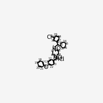 Cl.Cl.OC1(C(CN2CCN(Cc3ccc(Oc4ccccc4)cc3)CC2)c2cccc(Cl)c2)CCCCC1